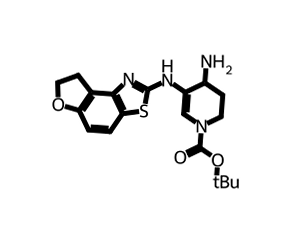 CC(C)(C)OC(=O)N1C=C(Nc2nc3c4c(ccc3s2)OCC4)C(N)CC1